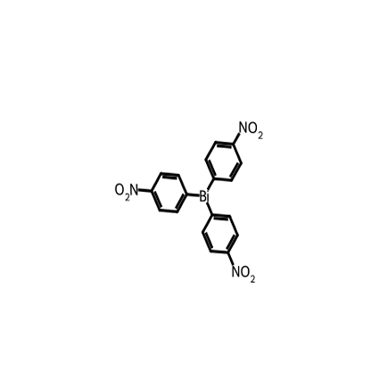 O=[N+]([O-])c1cc[c]([Bi]([c]2ccc([N+](=O)[O-])cc2)[c]2ccc([N+](=O)[O-])cc2)cc1